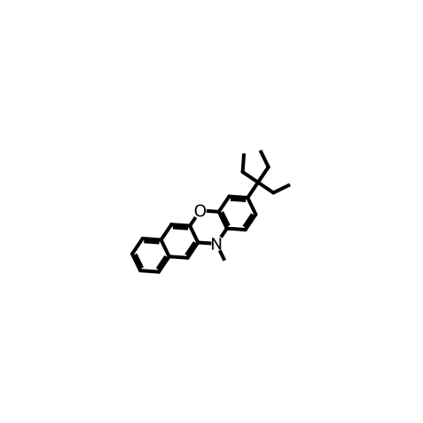 CCC(CC)(CC)c1ccc2c(c1)Oc1cc3ccccc3cc1N2C